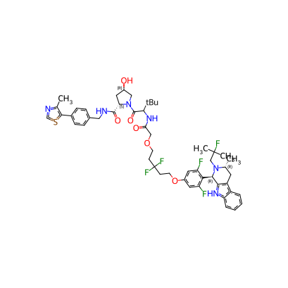 Cc1ncsc1-c1ccc(CNC(=O)[C@@H]2C[C@@H](O)CN2C(=O)C(NC(=O)COCCC(F)(F)CCOc2cc(F)c([C@@H]3c4[nH]c5ccccc5c4C[C@@H](C)N3CC(C)(C)F)c(F)c2)C(C)(C)C)cc1